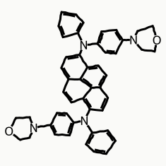 c1ccc(N(c2ccc(N3CCOCC3)cc2)c2ccc3ccc4c(N(c5ccccc5)c5ccc(N6CCOCC6)cc5)ccc5ccc2c3c54)cc1